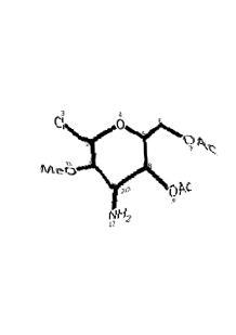 COC1C(Cl)OC(COC(C)=O)C(OC(C)=O)C1N